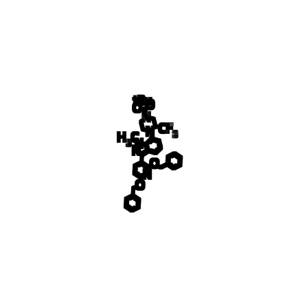 Cn1nc(-c2ccc(OCc3ccccc3)nc2OCc2ccccc2)c2cccc(N3CCN(C(=O)OC(C)(C)C)C[C@H]3C(F)(F)F)c21